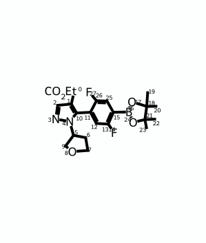 CCOC(=O)c1cnn(C2CCOC2)c1-c1cc(F)c(B2OC(C)(C)C(C)(C)O2)cc1F